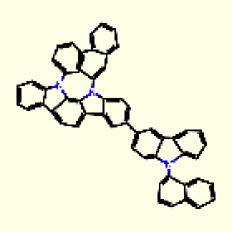 c1ccc(-n2c3ccccc3c3ccc4c5cc(-c6ccc7c(c6)c6ccccc6n7-c6cccc7ccccc67)ccc5n(-c5ccc6ccccc6c5)c4c32)cc1